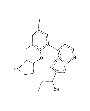 CCC(O)c1cc2nccc(-c3cc(Cl)cc(C)c3OC3CCNC3)c2s1